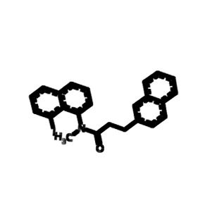 CN(C(=O)CCc1ccc2ccccc2c1)c1cccc2cccc(I)c12